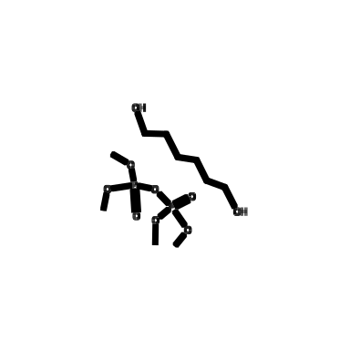 COP(=O)(OC)OP(=O)(OC)OC.OCCCCCCO